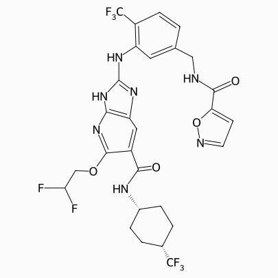 O=C(NCc1ccc(C(F)(F)F)c(Nc2nc3cc(C(=O)N[C@H]4CC[C@@H](C(F)(F)F)CC4)c(OCC(F)F)nc3[nH]2)c1)c1ccno1